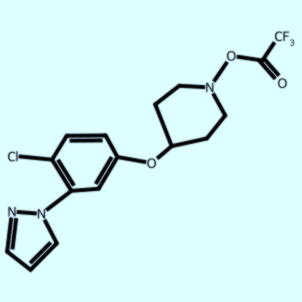 O=C(ON1CCC(Oc2ccc(Cl)c(-n3cccn3)c2)CC1)C(F)(F)F